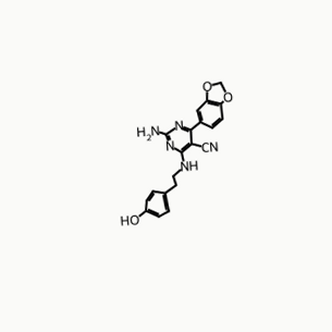 N#Cc1c(NCCc2ccc(O)cc2)nc(N)nc1-c1ccc2c(c1)OCO2